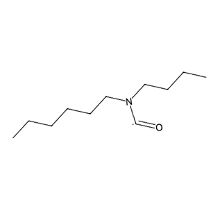 CCCCCCN([C]=O)CCCC